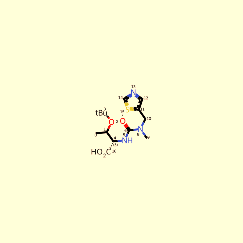 CC(OC(C)(C)C)[C@H](NC(=O)N(C)Cc1cncs1)C(=O)O